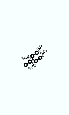 C=CC(=O)Oc1ccc(-c2ccc(OC(=O)C=C)c(C(c3ccc(-c4ccccc4)cc3)c3cc(C4=CCC(OC(=O)C=C)C=C4)ccc3OC(=O)C=C)c2)cc1